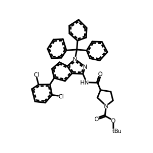 CC(C)(C)OC(=O)N1CCC(C(=O)Nc2nn(C(c3ccccc3)(c3ccccc3)c3ccccc3)c3ccc(-c4c(Cl)cccc4Cl)cc23)C1